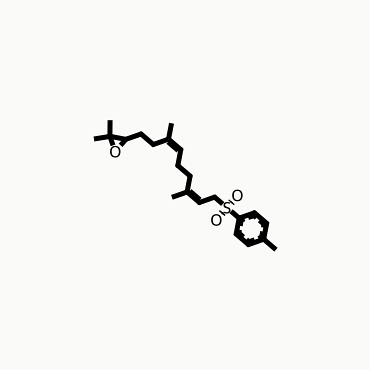 CC(=CCS(=O)(=O)c1ccc(C)cc1)CCC=C(C)CCC1OC1(C)C